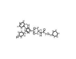 CC1(NC(=O)COCc2ccccc2)COC(c2nc(-c3ccc(F)cc3)c(-c3ccncc3)[nH]2)OC1